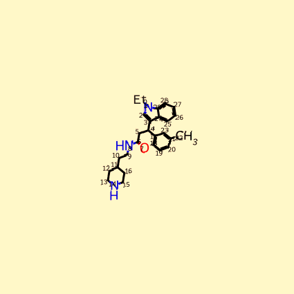 CCn1cc(C(CC(=O)NCCC2CCNCC2)c2cccc(C)c2)c2ccccc21